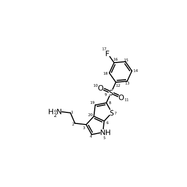 NCCc1c[nH]c2sc(S(=O)(=O)c3cccc(F)c3)cc12